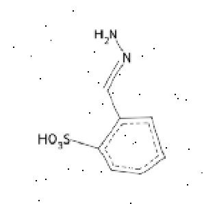 NN=Cc1ccccc1S(=O)(=O)O